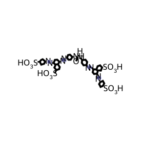 O=C(Nc1ccc(/N=N/c2ccc(/N=N/c3ccc(S(=O)(=O)O)cc3)c3cc(S(=O)(=O)O)ccc23)cc1)Nc1ccc(/N=N/c2ccc(/N=N/c3ccc(S(=O)(=O)O)cc3)c3cc(S(=O)(=O)O)ccc23)cc1